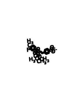 Cc1ccc(S(=O)(=O)N(CCc2ccc([N+](=O)[O-])cc2)C(=O)OC(C)(C)C)cc1F